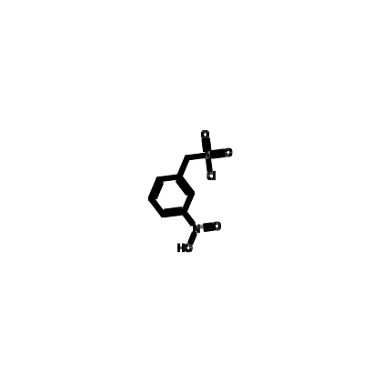 O=[N+](O)c1cccc(CS(=O)(=O)Cl)c1